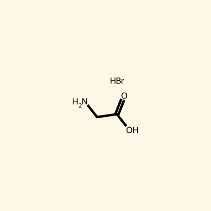 Br.NCC(=O)O